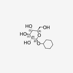 OC[C@H]1O[C@@H](OC2CCCCC2)[C@H](O)[C@@H](O)[C@@H]1O